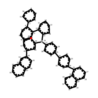 c1ccc(-c2ccccc2-c2ccccc2N(c2ccc(-c3ccc(-c4cccc5ccccc45)cc3)cc2)c2cccc(-c3ccc4ccccc4c3)c2)cc1